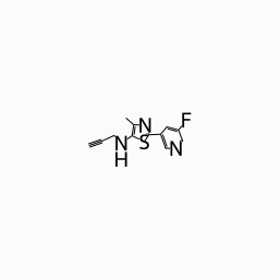 C#CCNc1sc(-c2cncc(F)c2)nc1C